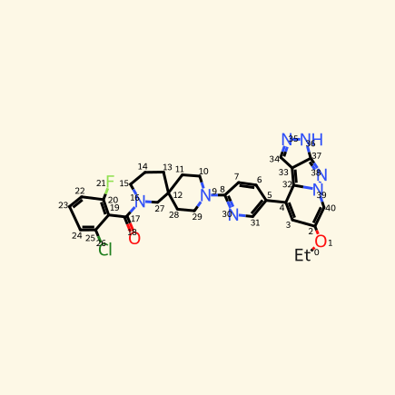 CCOc1cc(-c2ccc(N3CCC4(CCCN(C(=O)c5c(F)cccc5Cl)C4)CC3)nc2)c2c3cn[nH]c3nn2c1